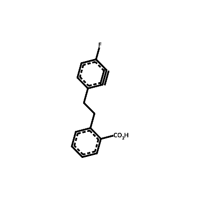 O=C(O)c1ccccc1CCc1c#cc(F)cc1